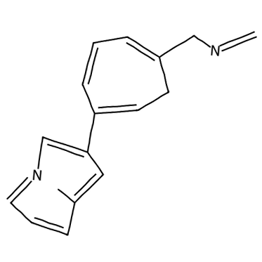 C=NCC1=CC=CC(C2=C/N=C/C=C\C(C)=C\2)=CC1